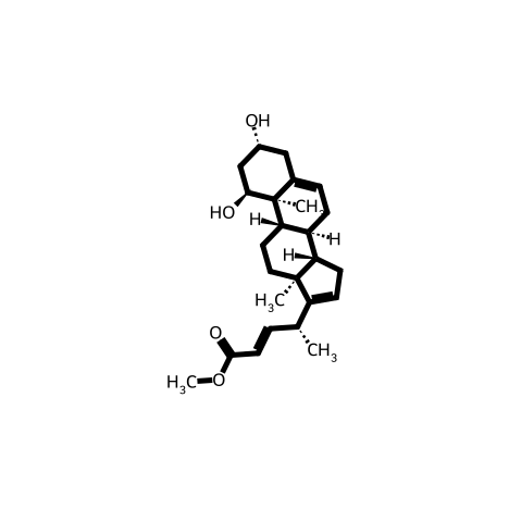 COC(=O)/C=C/[C@@H](C)C1=CC[C@H]2[C@@H]3CC=C4C[C@@H](O)C[C@H](O)[C@]4(C)[C@H]3CC[C@]12C